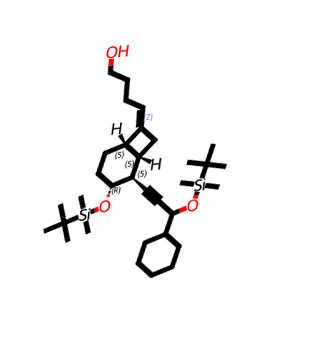 CC(C)(C)[Si](C)(C)OC(C#C[C@@H]1[C@H]2C/C(=C/CCCO)[C@H]2CC[C@H]1O[Si](C)(C)C(C)(C)C)C1CCCCC1